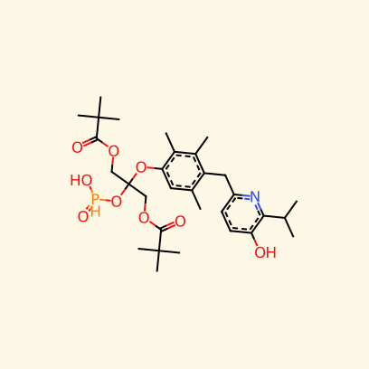 Cc1cc(OC(COC(=O)C(C)(C)C)(COC(=O)C(C)(C)C)O[PH](=O)O)c(C)c(C)c1Cc1ccc(O)c(C(C)C)n1